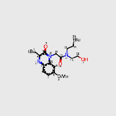 COc1ccc2nc(C(C)(C)C)c(=O)n(CC(=O)N(CCO)CCC(C)(C)C)c2c1